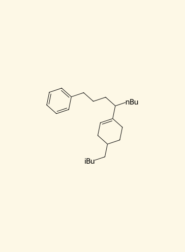 CCCCC(CCCc1ccccc1)C1=CCC(CC(C)CC)CC1